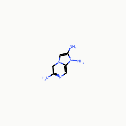 NC1=CN2CC(N)=NC=C2N1N